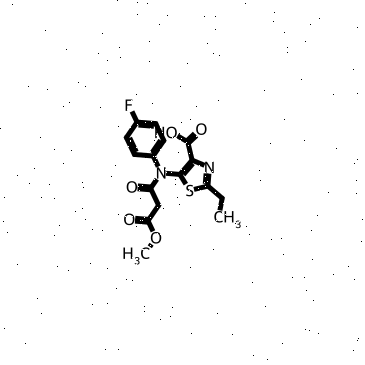 CCc1nc(C(=O)O)c(N(C(=O)CC(=O)OC)c2ccc(F)cc2)s1